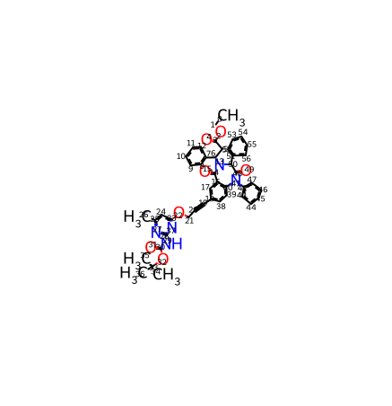 CCOC(=O)CC(c1ccccc1)N1C(=O)c2cc(C#CCOc3cc(C)nc(NC(=O)OC(C)(C)C)n3)ccc2N(c2ccccc2)C(=O)C1c1ccccc1